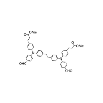 COC(=O)CCc1ccc(N(c2ccc(C=O)cc2)c2ccc(CCc3ccc(N(c4ccc(C=O)cc4)c4ccc(CCC(=O)OC)cc4)cc3)cc2)cc1